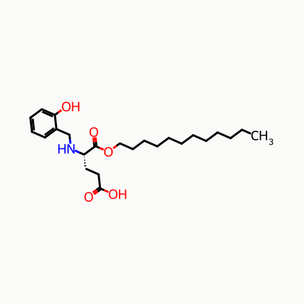 CCCCCCCCCCCCOC(=O)[C@H](CCC(=O)O)NCc1ccccc1O